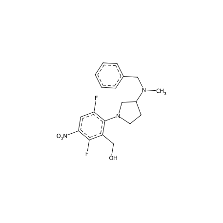 CN(Cc1ccccc1)C1CCN(c2c(F)cc([N+](=O)[O-])c(F)c2CO)C1